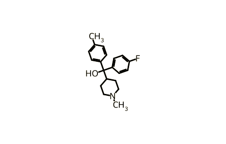 Cc1ccc(C(O)(c2ccc(F)cc2)C2CCN(C)CC2)cc1